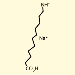 [NH-]CCCCCCCCCCC(=O)O.[Na+]